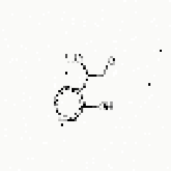 Oc1ccccc1C(O)CCl